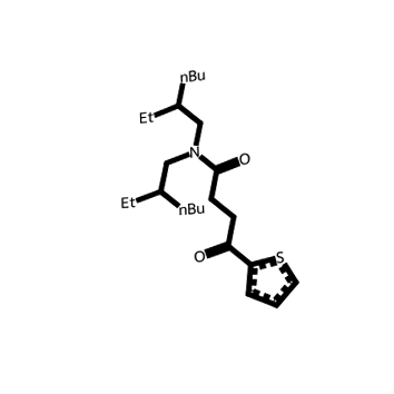 CCCCC(CC)CN(CC(CC)CCCC)C(=O)CCC(=O)c1cccs1